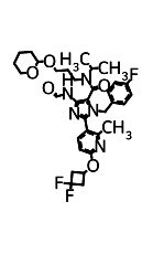 Cc1nc(OC2CC(F)(F)C2)ccc1-c1nc(NC=O)c(C(=O)N(CCCOC2CCCCO2)C(C)C)n1Cc1ccc(F)cc1